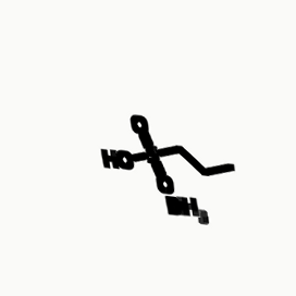 CCCS(=O)(=O)O.[BiH3]